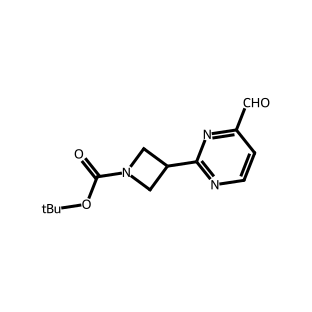 CC(C)(C)OC(=O)N1CC(c2nccc(C=O)n2)C1